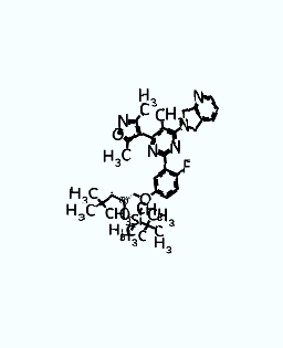 Cc1noc(C)c1-c1nc(-c2cc(OC[C@@H]([CH]C(C)(C)C)O[Si](C)(C)C(C)(C)C)ccc2F)nc(N2Cc3cccnc3C2)c1C